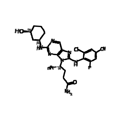 CCC[C@@H](CCC(N)=O)n1c(Nc2c(F)cc(C#N)cc2Cl)nc2cnc(N[C@@H]3CCC[C@H](O)C3)nc21